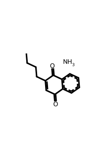 CCCCC1=CC(=O)c2ccccc2C1=O.N